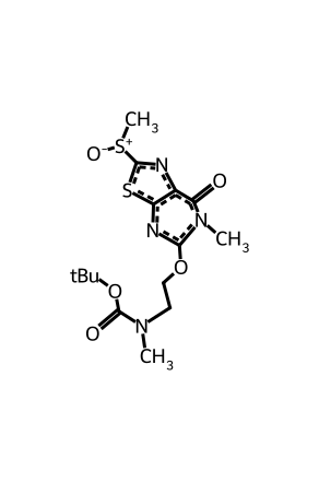 CN(CCOc1nc2sc([S+](C)[O-])nc2c(=O)n1C)C(=O)OC(C)(C)C